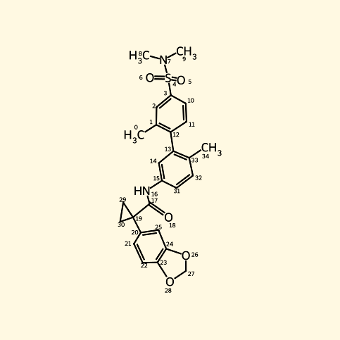 Cc1cc(S(=O)(=O)N(C)C)ccc1-c1cc(NC(=O)C2(c3ccc4c(c3)OCO4)CC2)ccc1C